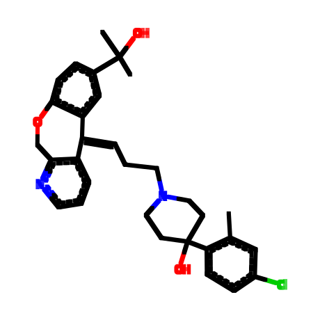 Cc1cc(Cl)ccc1C1(O)CCN(CC/C=C2/c3cc(C(C)(C)O)ccc3OCc3ncccc32)CC1